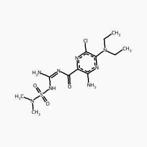 CCN(CC)c1nc(N)c(C(=O)/N=C(/N)NS(=O)(=O)N(C)C)nc1Cl